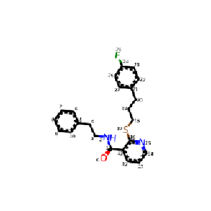 O=C(NCCc1ccccc1)c1cccnc1SCCCc1ccc(F)cc1